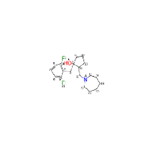 OC1(Cc2c(F)cccc2Cl)CCCC1CN1CCCCCC1